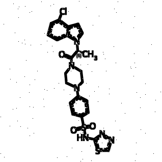 C[C@H](C(=O)N1CCN(c2ccc(S(=O)(=O)Nc3nncs3)cc2)CC1)n1ccc2c(Cl)cccc21